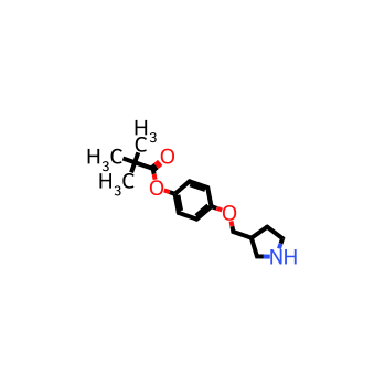 CC(C)(C)C(=O)Oc1ccc(OCC2CCNC2)cc1